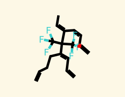 C=C/C=C\C(=C/C)C(/C(=C/C=C)CCC=C)(C(F)(F)F)C(F)(F)F